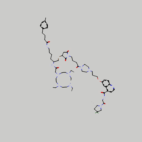 Cc1ccc(CCCC(=O)NCCCCC(CSC2CC(=O)N(CCCC(=O)N3CCN(CCCOc4ccc5nccc(C(=O)NCC(=O)N6CC(F)(F)C[C@@H]6C#N)c5c4)CC3)C2=O)NC(=O)CN2CCN(CC(=O)O)CCN(CC(=O)O)CCN(CC(=O)O)CC2)cc1